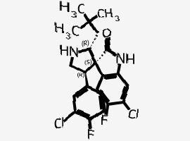 CC(C)(C)C[C@H]1NC[C@H](c2ccc(F)c(Cl)c2)[C@@]12C(=O)Nc1cc(Cl)c(F)cc12